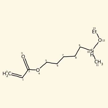 C=CC(=O)OCCCCC[SiH](C)OCC